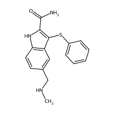 CNCc1ccc2[nH]c(C(N)=O)c(Sc3ccccc3)c2c1